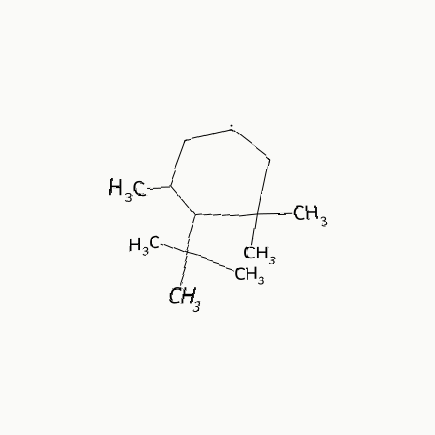 CC1C[CH]CC(C)(C)C1C(C)(C)C